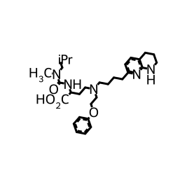 CC(C)CN(C)C(=O)NC(CCN(CCCCc1ccc2c(n1)NCCC2)CCOc1ccccc1)C(=O)O